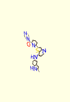 Cc1cc2cc(Nc3ccnc4cc(-c5cccc(C(=O)N6CCN(C)CC6)n5)sc34)ccc2[nH]1